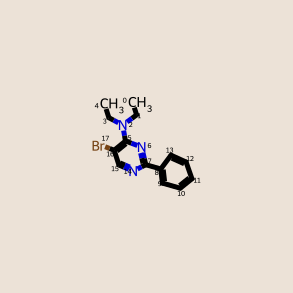 CCN(CC)c1nc(-c2ccccc2)ncc1Br